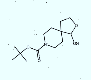 CC(C)(C)OC(=O)N1CCC2(CCOC2O)CC1